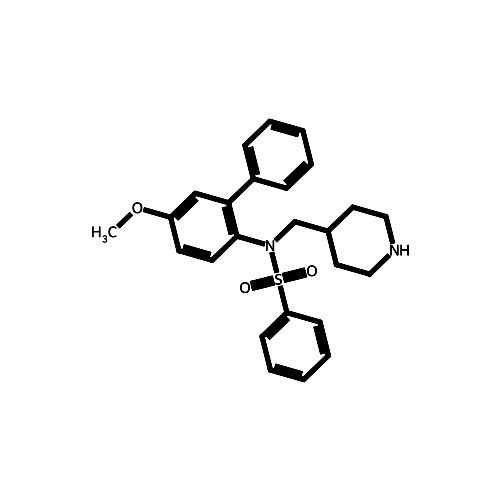 COc1ccc(N(CC2CCNCC2)S(=O)(=O)c2ccccc2)c(-c2ccccc2)c1